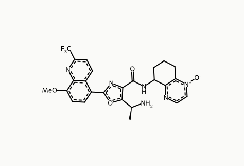 COc1ccc(-c2nc(C(=O)NC3CCCc4c3ncc[n+]4[O-])c([C@H](C)N)o2)c2ccc(C(F)(F)F)nc12